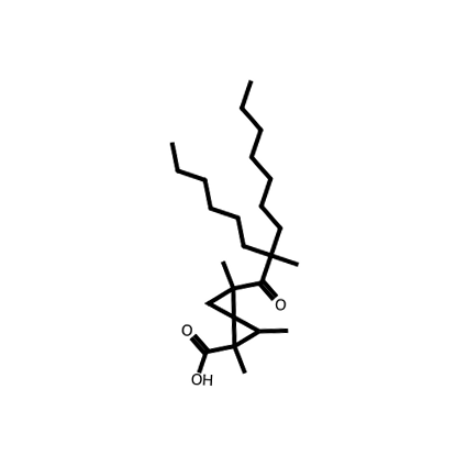 CCCCCCCC(C)(CCCCCC)C(=O)C1(C)CC12C(C)C2(C)C(=O)O